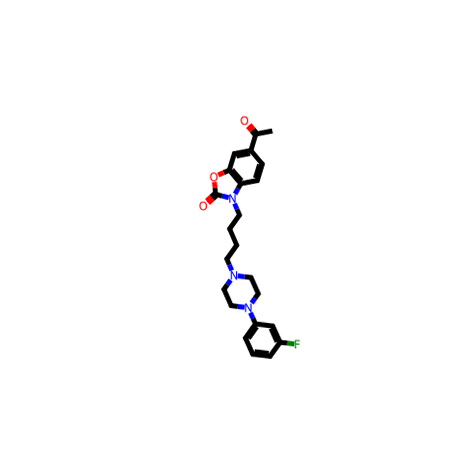 CC(=O)c1ccc2c(c1)oc(=O)n2CCCCN1CCN(c2cccc(F)c2)CC1